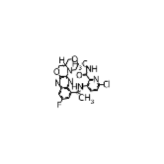 CNC(=O)c1nc(Cl)ccc1N[C@H](C)c1cc(F)cc2nc3c(nc12)N1CCOC[C@H]1CO3